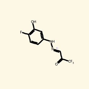 O=C(/C=N/Nc1ccc(F)c(O)c1)C(F)(F)F